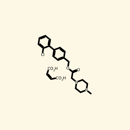 CN1CCN(CC(=O)OCc2ccc(-c3ccccc3Cl)cc2)CC1.O=C(O)/C=C\C(=O)O